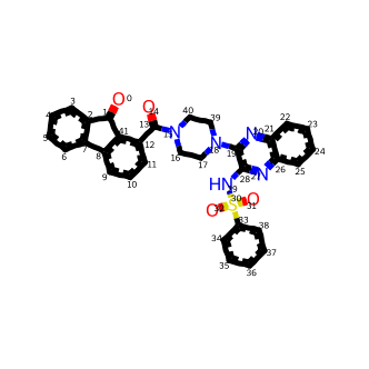 O=C1c2ccccc2-c2cccc(C(=O)N3CCN(c4nc5ccccc5nc4NS(=O)(=O)c4ccccc4)CC3)c21